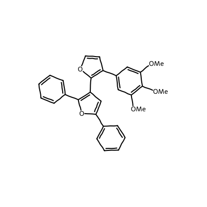 COc1cc(-c2ccoc2-c2cc(-c3ccccc3)oc2-c2ccccc2)cc(OC)c1OC